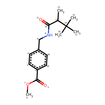 COC(=O)c1ccc(CNC(=O)C(C)C(C)(C)C)cc1